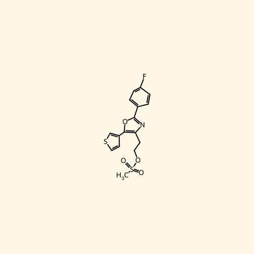 CS(=O)(=O)OCCc1nc(-c2ccc(F)cc2)oc1-c1ccsc1